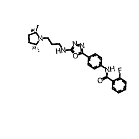 C[C@@H]1CC[C@@H](C)N1CCCNc1nnc(-c2ccc(NC(=O)c3ccccc3F)cc2)o1